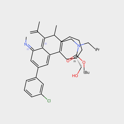 C=C(C)/C(=C1/C(C2=CCCC[C@H](CO)C2)=CC(c2cccc(Cl)c2)=C/C1=N/C)C(C)CCN(CC(C)C)C(=O)OC(C)(C)C